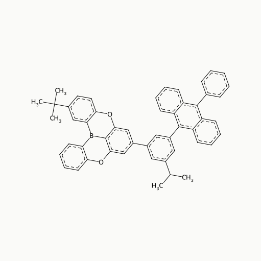 CC(C)c1cc(-c2cc3c4c(c2)Oc2ccc(C(C)(C)C)cc2B4c2ccccc2O3)cc(-c2c3ccccc3c(-c3ccccc3)c3ccccc23)c1